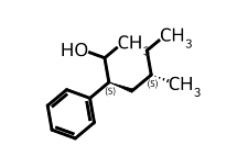 CC[C@H](C)C[C@@H](c1ccccc1)C(C)O